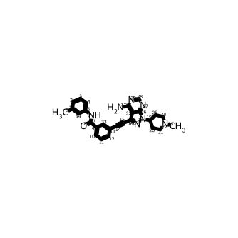 Cc1cccc(NC(=O)c2cccc(C#Cc3nn(C4CCN(C)CC4)c4ncnc(N)c34)c2)c1